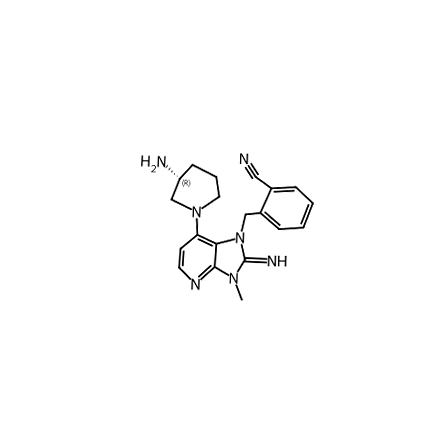 Cn1c(=N)n(Cc2ccccc2C#N)c2c(N3CCC[C@@H](N)C3)ccnc21